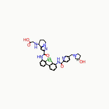 O=C(O)CNC1CCCn2nc(C(=O)Nc3cccc(-c4cccc(NC(=O)c5ccc(CN6CC[C@@H](O)C6)cn5)c4Cl)c3Cl)cc21